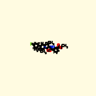 COC(=O)c1cccc(C(=O)N[C@@H](C(=O)N2CC[C@H](c3ccc(F)cc3)C(C)(C)C2)C(C)C)c1